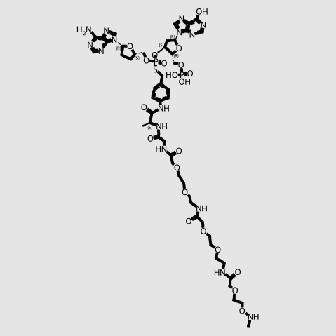 CNOCCOCC(=O)NCCOCCOCC(=O)NCCOCCOCC(=O)NCC(=O)N[C@@H](C)C(=O)Nc1ccc(CSP(=O)(OC[C@@H]2CC[C@H](n3cnc4c(N)ncnc43)O2)O[C@H]2C[C@H](n3cnc4c(O)ncnc43)O[C@@H]2COP(=O)(O)O)cc1